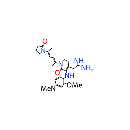 CNc1ccc(NC2=C(CC(=N)N)CCN(/C(C)=C/C=C(\C)N3CCCC3=O)C2=O)c(OC)c1